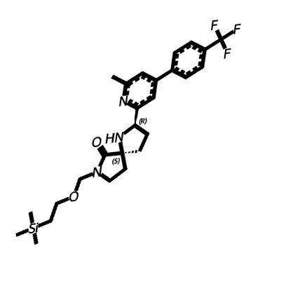 Cc1cc(-c2ccc(C(F)(F)F)cc2)cc([C@H]2CC[C@@]3(CCN(COCC[Si](C)(C)C)C3=O)N2)n1